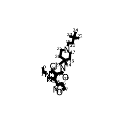 CCn1nc(-c2ccon2)c(C(=O)N2CC3(CCN(CCC(C)(C)C)CC3)C2)c1Cl